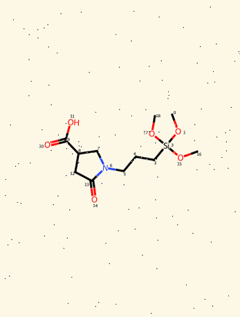 CO[Si](CCCN1CC(C(=O)O)CC1=O)(OC)OC